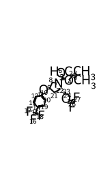 CC(C)(C)OC(=O)N1C[C@@H](Oc2ccc(C(F)(F)F)cc2)C[C@H]1COC(F)F